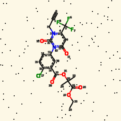 C#CCn1c(C(F)(F)F)cc(=O)n(-c2ccc(Cl)c(C(=O)OC(C)(C)C(=O)OCC)c2)c1=O